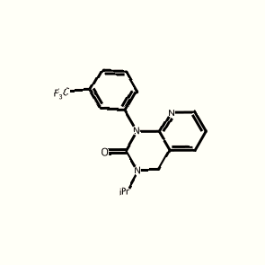 CC(C)N1Cc2cccnc2N(c2cccc(C(F)(F)F)c2)C1=O